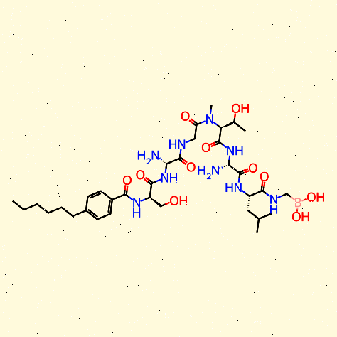 CCCCCCc1ccc(C(=O)N[C@H](CO)C(=O)N[C@H](N)C(=O)NCC(=O)N(C)[C@H](C(=O)N[C@@H](N)C(=O)N[C@@H](CC(C)C)C(=O)NCB(O)O)C(C)O)cc1